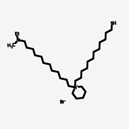 CCN(C)CCCCCCCCCCCC[N+]1(CCCCCCCCCCCCS)CCCCC1.[Br-]